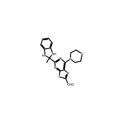 CC1(c2nc(N3CCOCC3)c3nc(C=O)sc3n2)Nc2ccccc2N1